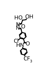 O=C(Nc1ccc(C(F)(F)F)cc1)c1ccc(-c2nnc([C@@H](O)CO)o2)cc1Cl